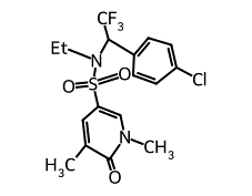 CCN(C(c1ccc(Cl)cc1)C(F)(F)F)S(=O)(=O)c1cc(C)c(=O)n(C)c1